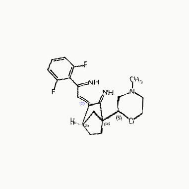 CN1CCO[C@@H]([C@]23CC[C@H](C2)/C(=C/C(=N)c2c(F)cccc2F)C3=N)C1